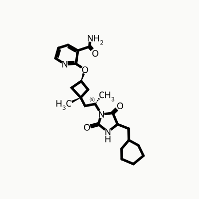 C[C@@H](C[C@]1(C)C[C@@H](Oc2ncccc2C(N)=O)C1)N1C(=O)NC(CC2CCCCC2)C1=O